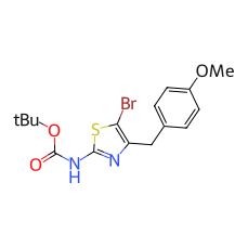 COc1ccc(Cc2nc(NC(=O)OC(C)(C)C)sc2Br)cc1